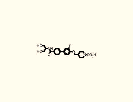 O=C(NC(CO)CO)C1CC=C(c2ccc(OCC3CCN(C(=O)O)CC3)c(F)c2)CC1